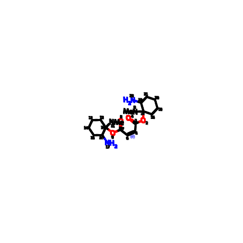 CNC1(OC(=O)/C=C\C(=O)OC2(NC)CCCCC2N)CCCCC1N